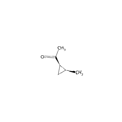 CC(=O)[C@@H]1C[C@@H]1C